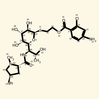 CCC[C@@H]1C[C@@H](C(=O)N[C@@H]([C@H]2O[C@H](SCCOC(=O)c3ccc(N)cc3Cl)[C@H](O)[C@@H](O)[C@H]2O)[C@@H](C)O)N(C)C1